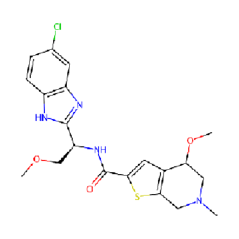 COC[C@H](NC(=O)c1cc2c(s1)CN(C)CC2OC)c1nc2cc(Cl)ccc2[nH]1